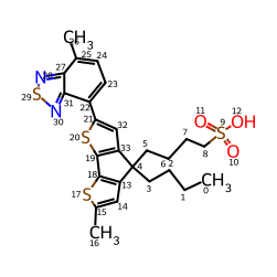 CCCCC1(CCCCS(=O)(=O)O)c2cc(C)sc2-c2sc(-c3ccc(C)c4nsnc34)cc21